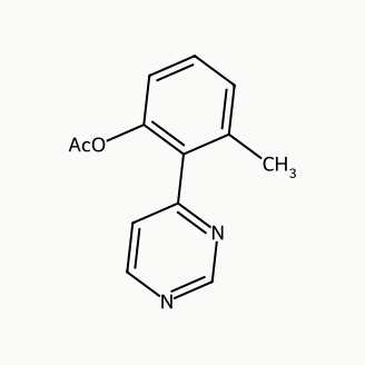 CC(=O)Oc1cccc(C)c1-c1ccncn1